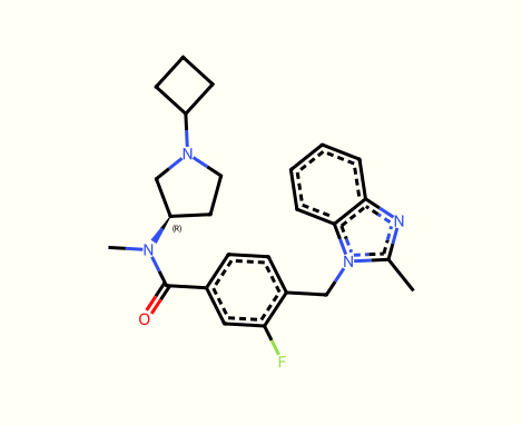 Cc1nc2ccccc2n1Cc1ccc(C(=O)N(C)[C@@H]2CCN(C3CCC3)C2)cc1F